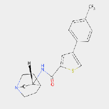 O=C(N[C@H]1CN2CCC1CC2)c1cc(-c2ccc(C(F)(F)F)cc2)cs1